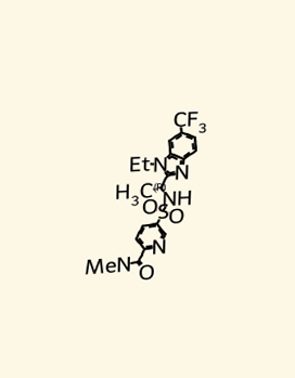 CCn1c([C@@H](C)NS(=O)(=O)c2ccc(C(=O)NC)nc2)nc2ccc(C(F)(F)F)cc21